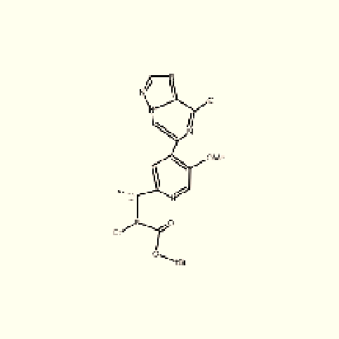 CCN(C(=O)OC(C)(C)C)[C@H](C)c1cc(-c2cn3ncnc3c(Cl)n2)c(OC)cn1